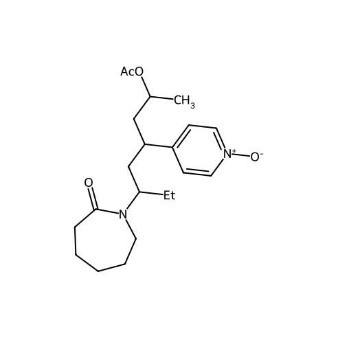 CCC(CC(CC(C)OC(C)=O)c1cc[n+]([O-])cc1)N1CCCCCC1=O